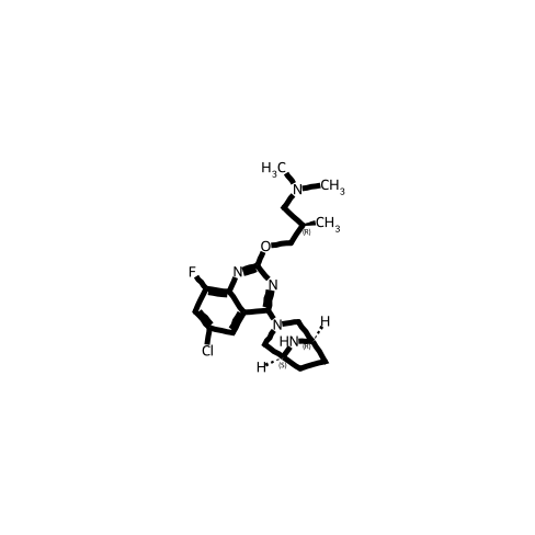 C[C@@H](COc1nc(N2C[C@H]3CC[C@@H](C2)N3)c2cc(Cl)cc(F)c2n1)CN(C)C